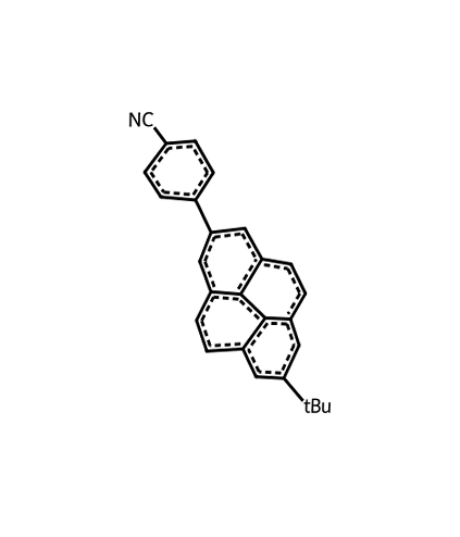 CC(C)(C)c1cc2ccc3cc(-c4ccc(C#N)cc4)cc4ccc(c1)c2c34